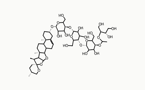 CC(OC(CO)[C@@H](O)CO)O[C@@H]1C(CO)O[C@@H](O[C@@H]2C(CO)O[C@H](O[C@@H]3C(CO)O[C@@H](O[C@H]4CC[C@@]5(C)C(=CCC6C7OC8O[C@]9(CC[C@@H](C)CO9)[C@@H](C)C8[C@@]7(C)CCC65)C4)C(O)C3O)C(O)C2O)C(O)C1O